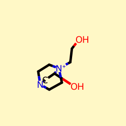 OCC[N+]12CCN(CC1)CC2O